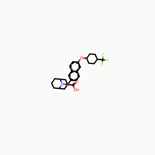 O=C(O)C1CC2CCCC(C1)N2Cc1ccc2cc(OC3CCC(C(F)(F)F)CC3)ccc2c1